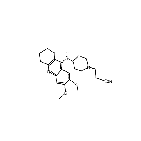 COc1cc2nc3c(c(NC4CCN(CCC#N)CC4)c2cc1OC)CCCC3